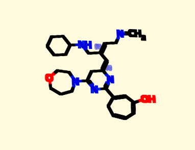 C=NC/C=C(\C=C1/CC(N2CCCOCC2)=NC(C2=CC(O)=CC=CC2)=N1)CNC1CCCCC1